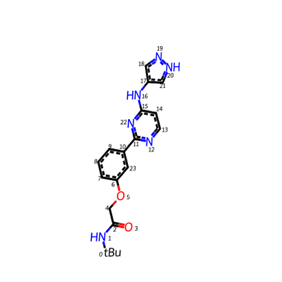 CC(C)(C)NC(=O)COc1cccc(-c2nccc(Nc3cn[nH]c3)n2)c1